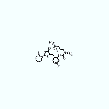 CN(C)CCCN(C)C(=O)Oc1cc(F)ccc1/C=C1\SC(N2CCCCN2)=NC1=O